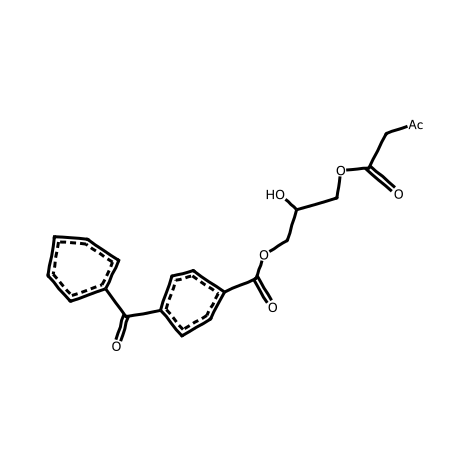 CC(=O)CC(=O)OCC(O)COC(=O)c1ccc(C(=O)c2ccccc2)cc1